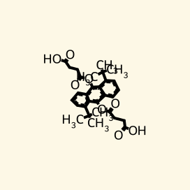 CC(C)(C)c1cccc2c(OC(=O)CCC(=O)O)c3c(C(C)(C)C)cccc3c(OC(=O)CCC(=O)O)c12